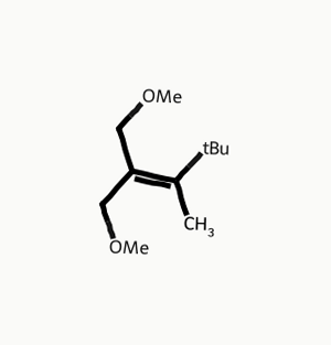 COCC(COC)=C(C)C(C)(C)C